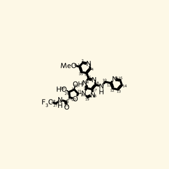 COc1cncc(-c2nc(NCc3ccccn3)c3ncn([C@@H]4O[C@H](C(=O)NCC(F)(F)F)[C@@H](O)[C@H]4O)c3n2)c1